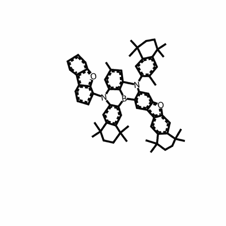 Cc1cc2c3c(c1)N(c1cccc4c1oc1ccccc14)c1cc4c(cc1B3c1cc3c(cc1N2c1cc2c(cc1C)C(C)(C)CCC2(C)C)oc1cc2c(cc13)C(C)(C)CCC2(C)C)C(C)(C)CCC4(C)C